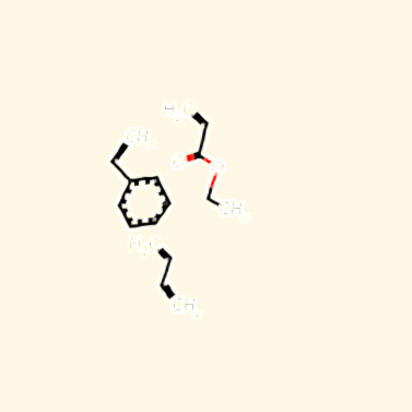 C=CC(=O)OCC.C=CC=C.C=Cc1ccccc1